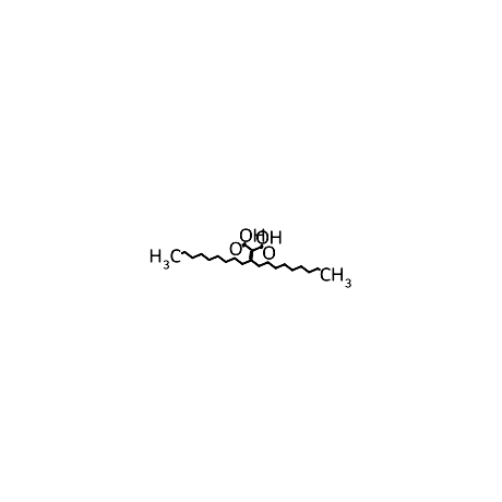 CCCCCCCCCC(CCCCCCCCC)=C(C(=O)O)C(=O)O